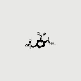 NNc1ccc(C[SH](=O)=O)cc1[N+](=O)[O-]